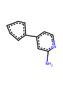 Nc1cc(-c2ccccc2)ccn1